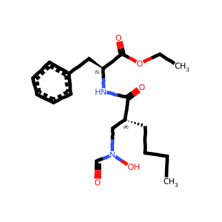 CCCC[C@H](CN(O)C=O)C(=O)N[C@@H](Cc1ccccc1)C(=O)OCC